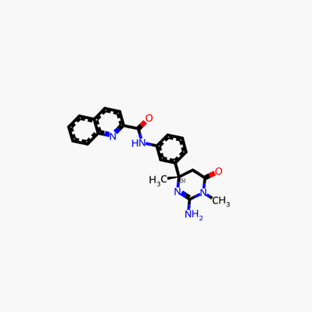 CN1C(=O)C[C@@](C)(c2cccc(NC(=O)c3ccc4ccccc4n3)c2)N=C1N